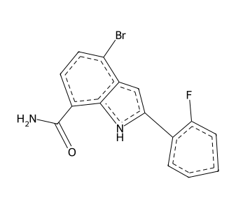 NC(=O)c1ccc(Br)c2cc(-c3ccccc3F)[nH]c12